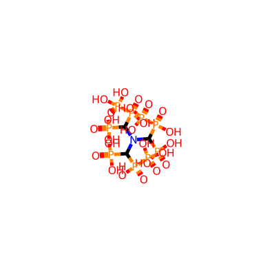 O=P(O)(O)C(N(C(P(=O)(O)O)P(=O)(O)P(=O)(O)O)C(P(=O)(O)O)P(=O)(O)P(=O)(O)O)P(=O)(O)P(=O)(O)O